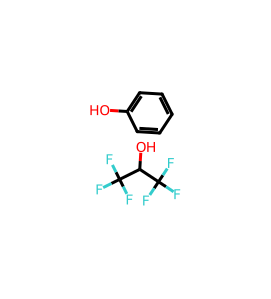 OC(C(F)(F)F)C(F)(F)F.Oc1ccccc1